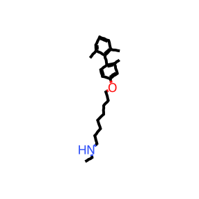 CCNCCCCCCCCOc1ccc(-c2c(C)cccc2C)c(C)c1